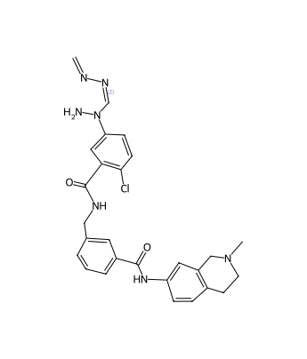 C=N/N=C\N(N)c1ccc(Cl)c(C(=O)NCc2cccc(C(=O)Nc3ccc4c(c3)CN(C)CC4)c2)c1